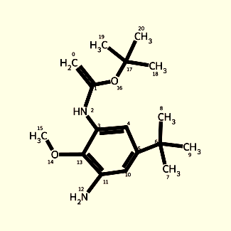 C=C(Nc1cc(C(C)(C)C)cc(N)c1OC)OC(C)(C)C